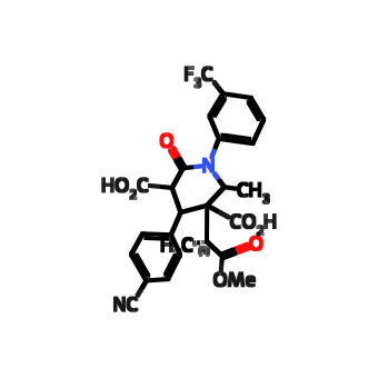 COC(=O)[C@H](C)C1(C(=O)O)C(c2ccc(C#N)cc2)C(C(=O)O)C(=O)N(c2cccc(C(F)(F)F)c2)C1C